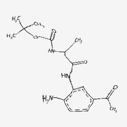 CC(=O)c1ccc(N)c(NC(=O)C(C)NC(=O)OC(C)(C)C)c1